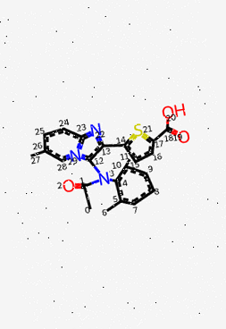 CC(=O)N(c1c(C)cccc1C)c1c(-c2ccc(C(=O)O)s2)nc2ccc(C)cn12